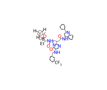 CC[C@H](NC(=O)[C@@H]1C[C@@](C)(CC(=O)Nc2cc(-c3ccccc3)nc3ccccc23)c2ncc(NCc3cccc(C(F)(F)F)c3)c(=O)n21)B1O[C@@H]2C[C@@H]3C[C@@H](C3(C)C)[C@]2(C)O1